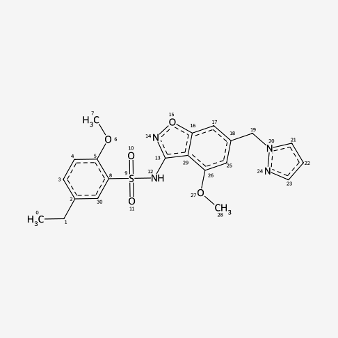 CCc1ccc(OC)c(S(=O)(=O)Nc2noc3cc(Cn4cccn4)cc(OC)c23)c1